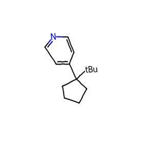 CC(C)(C)C1(c2ccncc2)CCCC1